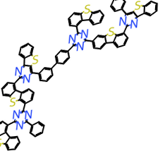 c1ccc(-c2nc(-c3cccc4c3sc3cccc(-c5nc(-c6cccc(-c7ccc(-c8nc(-c9ccc%10c(c9)sc9c(-c%11nc(-c%12ccccc%12)c%12sc%13ccccc%13c%12n%11)cccc9%10)nc(-c9cccc%10sc%11ccccc%11c9%10)n8)cc7)c6)c6sc7ccccc7c6n5)c34)nc(-c3cccc4sc5ccccc5c34)n2)cc1